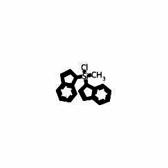 C[Si](Cl)(C1C=Cc2ccccc21)C1C=Cc2ccccc21